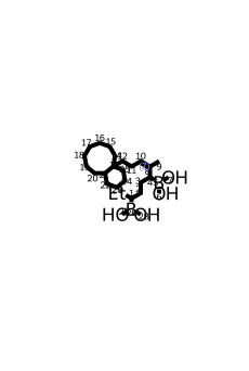 CCC(CCC(B(O)O)/C(C)=C\CCC12CCCCCCCC1CCCC2)B(O)O